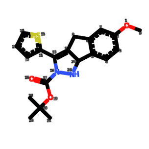 COc1ccc2c(c1)CC1=C(c3cccs3)N(C(=O)OC(C)(C)C)NC12